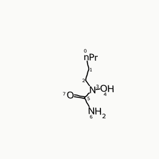 CCCCCN(O)C(N)=O